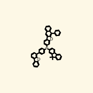 CC1(C)c2ccccc2-c2ccc(N(c3ccc(-c4cccc5c4oc4ccccc45)cc3)c3ccc4c(c3)oc3c(-c5ccccc5)c5ccccc5cc34)cc21